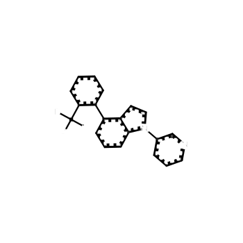 FC(F)(F)c1ccccc1-c1cccc2c1ccn2-c1cccnc1